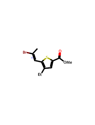 CCc1cc(C(=O)OC)sc1/C=C(\C)Br